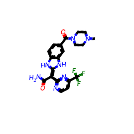 CN1CCN(C(=O)c2ccc3c(c2)N/C(=C(/C(N)=O)c2nccc(C(F)(F)F)n2)N3)CC1